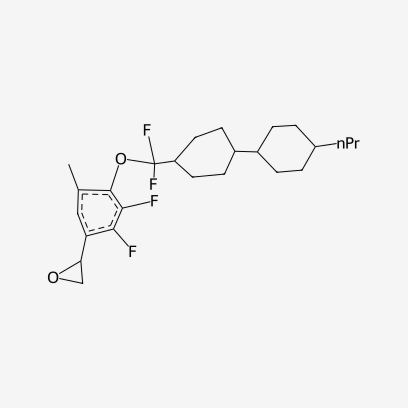 CCCC1CCC(C2CCC(C(F)(F)Oc3c(C)cc(C4CO4)c(F)c3F)CC2)CC1